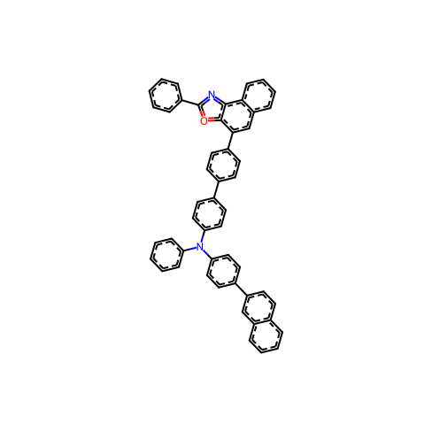 c1ccc(-c2nc3c(o2)c(-c2ccc(-c4ccc(N(c5ccccc5)c5ccc(-c6ccc7ccccc7c6)cc5)cc4)cc2)cc2ccccc23)cc1